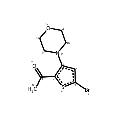 CC(=O)c1sc(Br)cc1N1CCOCC1